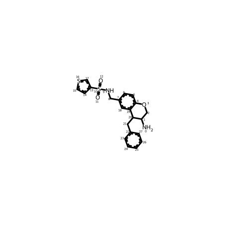 NC1COc2ccc(CNS(=O)(=O)c3ccsc3)cc2C1Cc1ccccc1